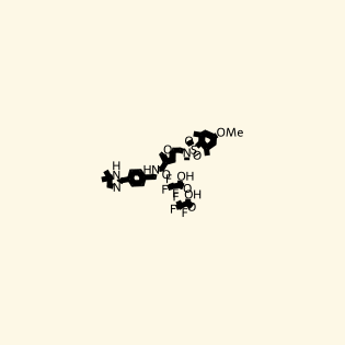 COc1cc(C)c(S(=O)(=O)N(C)Cc2cc(C(=O)NCc3ccc(C4=NCC(C)(C)N4)cc3)co2)c(C)c1.O=C(O)C(F)(F)F.O=C(O)C(F)(F)F